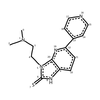 CN(C)CCn1c(=S)[nH]c2ccc(-c3ccncc3)nc21